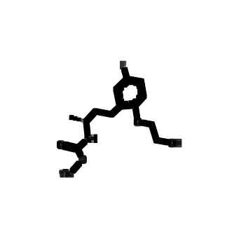 C[C@H](CCc1cc(F)ccc1OCCO)NC(=O)OC(C)(C)C